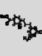 COC(=O)c1ccc(CCCc2cc(C)nc(Cl)n2)c(Br)c1